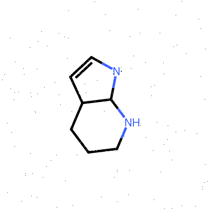 C1=CC2CCCNC2[N]1